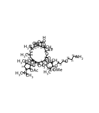 CC[C@H]1OC(=O)[C@H](C)[C@@H](OC2C[C@@](C)(OC)[C@@H](OCCCOCCCN)[C@H](C)O2)[C@H](C)[C@@H](O[C@@H]2O[C@H](C)C[C@H](N(C)C)[C@H]2OC(C)=O)[C@](C)(O)C[C@@H](C)CN(C)[C@@H](C)[C@H]2O[C@@H](O)C23O[C@]13C